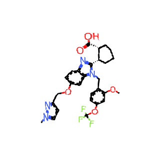 COc1cc(OC(F)(F)F)ccc1Cn1c([C@H]2CCCC[C@H]2C(=O)O)nc2ccc(OCc3ccn(C)n3)cc21